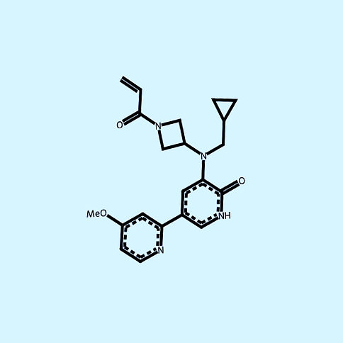 C=CC(=O)N1CC(N(CC2CC2)c2cc(-c3cc(OC)ccn3)c[nH]c2=O)C1